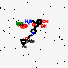 COC1(OCCCN2CCC(C3Cc4c(ccc(O)c4O)C(CN)O3)CC2)C=CC=C(C(C)=O)C1.Cl.Cl.O.O